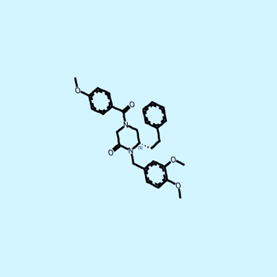 COc1ccc(C(=O)N2CC(=O)N(Cc3ccc(OC)c(OC)c3)[C@@H](CCc3ccccc3)C2)cc1